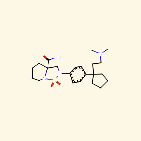 CN(C)CCC1(c2ccc(N3C[C@@]4(C(N)=O)[CH]CCCN4S3(=O)=O)cc2)CCCC1